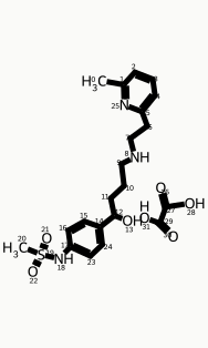 Cc1cccc(CCNCCCC(O)c2ccc(NS(C)(=O)=O)cc2)n1.O=C(O)C(=O)O